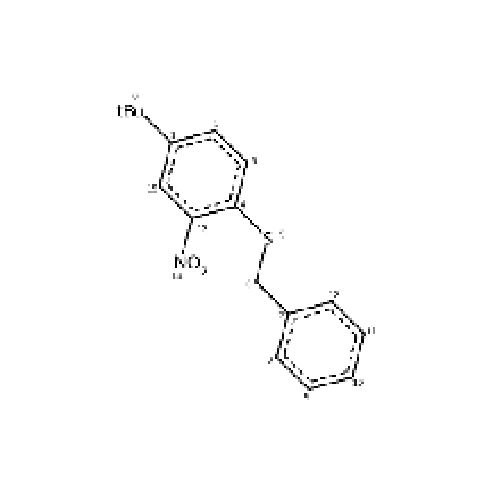 CC(C)(C)c1ccc(SCc2ccccc2)c([N+](=O)[O-])c1